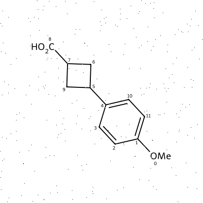 COc1ccc(C2CC(C(=O)O)C2)cc1